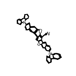 N#Cc1c2oc3cc4cc(-n5c6ccccc6c6ccccc65)ccc4cc3c2cc2oc3cc4cc(-n5c6ccccc6c6ccccc65)ccc4cc3c12